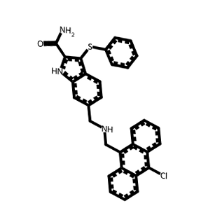 NC(=O)c1[nH]c2cc(CNCc3c4ccccc4c(Cl)c4ccccc34)ccc2c1Sc1ccccc1